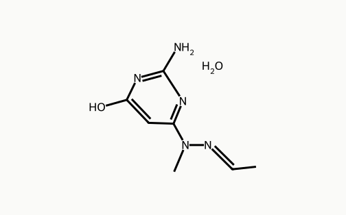 C/C=N/N(C)c1cc(O)nc(N)n1.O